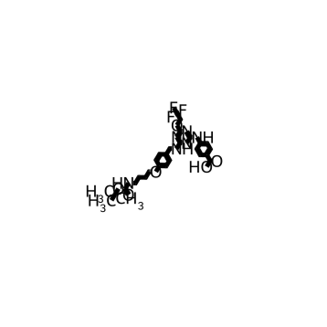 CC(C)(C)OC(=O)NCCCCOc1ccc(CNc2nc(Nc3ccc(C(=O)O)cc3)nc(OCC(F)(F)F)n2)cc1